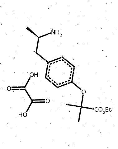 CCOC(=O)C(C)(C)Oc1ccc(C[C@@H](C)N)cc1.O=C(O)C(=O)O